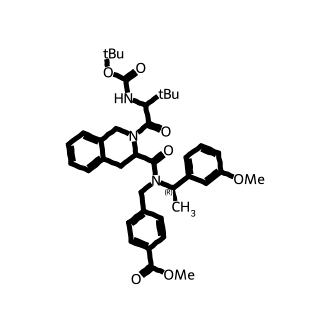 COC(=O)c1ccc(CN(C(=O)C2Cc3ccccc3CN2C(=O)C(NC(=O)OC(C)(C)C)C(C)(C)C)[C@H](C)c2cccc(OC)c2)cc1